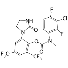 CN(C(=O)Oc1c(N2CCNC2=O)cc(C(F)(F)F)cc1C(F)(F)F)c1ccc(F)c(Cl)c1F